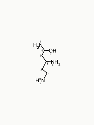 NCCC(N)CC(N)O